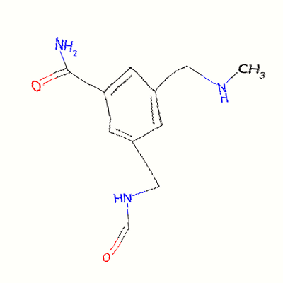 CNCc1cc(CNC=O)cc(C(N)=O)c1